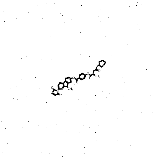 C=C(CC(=O)OC1CCCCC1)C(=O)Oc1ccc(C(=O)Oc2ccc3c(c2)C(C)c2cc(N4C(=O)C=CC4=O)ccc2-3)cc1